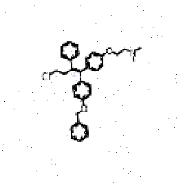 CN(C)CCOc1ccc(/C(=C(/CCCl)c2ccccc2)c2ccc(OCc3ccccc3)cc2)cc1